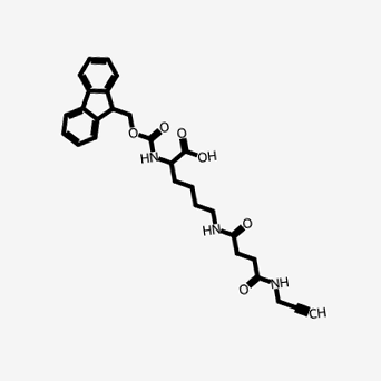 C#CCNC(=O)CCC(=O)NCCCCC(NC(=O)OCC1c2ccccc2-c2ccccc21)C(=O)O